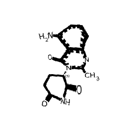 Cc1nc2cccc(N)c2c(=O)n1[C@H]1CCC(=O)NC1=O